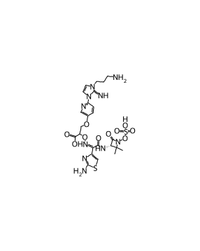 CC1(C)[C@H](NC(=O)/C(=N\OC(COc2ccc(-n3ccn(CCCN)c3=N)nc2)C(=O)O)c2csc(N)n2)C(=O)N1OS(=O)(=O)O